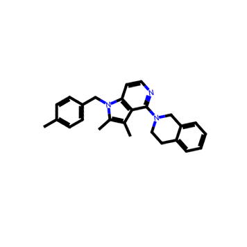 Cc1ccc(Cn2c(C)c(C)c3c(N4CCc5ccccc5C4)nccc32)cc1